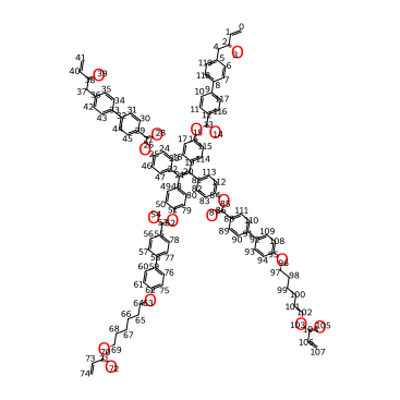 C=CC(=O)Cc1ccc(-c2ccc(C(=O)Oc3ccc(/C(=C(\c4ccc(OC(=O)c5ccc(-c6ccc(CC(=O)C=C)cc6)cc5)cc4)c4ccc(OC(=O)c5ccc(-c6ccc(OCCCCCCOC(=O)C=C)cc6)cc5)cc4)c4ccc(OC(=O)c5ccc(-c6ccc(OCCCCCCOC(=O)C=C)cc6)cc5)cc4)cc3)cc2)cc1